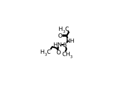 CCB(NC(=O)CC)NC(=O)CC